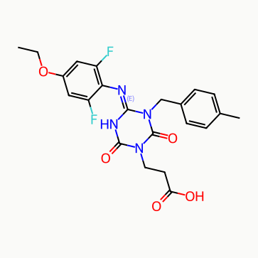 CCOc1cc(F)c(/N=c2\[nH]c(=O)n(CCC(=O)O)c(=O)n2Cc2ccc(C)cc2)c(F)c1